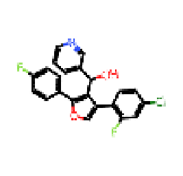 OC(c1cccnc1)c1c(-c2ccc(Cl)cc2F)coc1-c1ccc(F)cc1